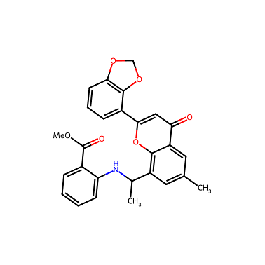 COC(=O)c1ccccc1NC(C)c1cc(C)cc2c(=O)cc(-c3cccc4c3OCO4)oc12